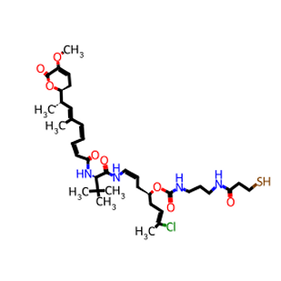 COC1=CC[C@@H]([C@@H](C)/C=C(C)/C=C\C=C/C(=O)N[C@H](C(=O)N/C=C\C[C@H](C/C=C(\C)Cl)OC(=O)NCCCNC(=O)CCS)C(C)(C)C)OC1=O